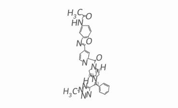 CC(=O)Nc1ccc2oc(-c3ccnc(C(=O)N4C[C@H]5C[C@@H]4CN5[C@@H](c4ccccc4)c4nnn(C)n4)c3)nc2c1